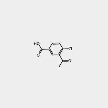 CC(=O)c1cc(C(=O)O)ccc1Cl